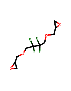 FC(F)(COCC1CO1)C(F)(F)COCC1CO1